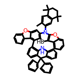 Cc1cc2c(cc1N1c3cc4oc5ccccc5c4c(-c4cccc5c4Nc4ccccc4C5(c4ccccc4)c4ccccc4)c3Bc3c1oc1ccccc31)C(C)(C)CCC2(C)C